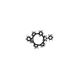 c1ccc(-c2nc3cc(n2)c2cccc(c2)c2cccc(c2)c2nc(nc4ccccc42)c2cccc(c2)c2cccc3c2)cc1